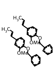 CC=Cc1ccc(OCc2ccccc2)c(OC)c1.CC=Cc1ccc(OCc2ccccc2)c(OC)c1